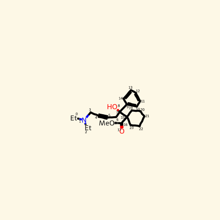 CCN(CC)CC#CCC(O)(c1ccccc1)C1(C(=O)OC)CCCCC1